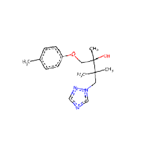 Cc1ccc(OCC(C)(O)C(C)(C)Cn2cncn2)cc1